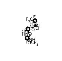 O=C(Nc1ccc(F)c(NC(=O)C(F)(F)F)c1F)c1cc(NC(=O)[C@H]2[C@H](c3ccc(F)c(C(F)(F)F)c3)C2(Cl)Cl)ccc1Cl